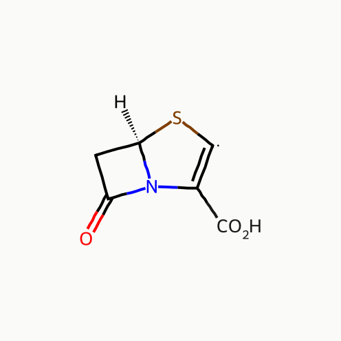 O=C(O)C1=[C]S[C@@H]2CC(=O)N12